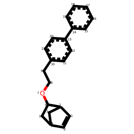 C1=CC2CC1CC2OCCc1ccc(-c2ccccc2)cc1